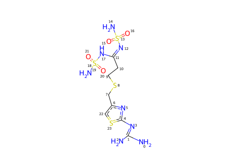 NC(N)=Nc1nc(CSCC/C(=N/S(N)(=O)=O)NS(N)(=O)=O)cs1